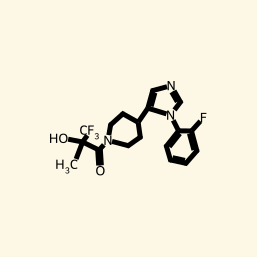 CC(O)(C(=O)N1CCC(c2cncn2-c2ccccc2F)CC1)C(F)(F)F